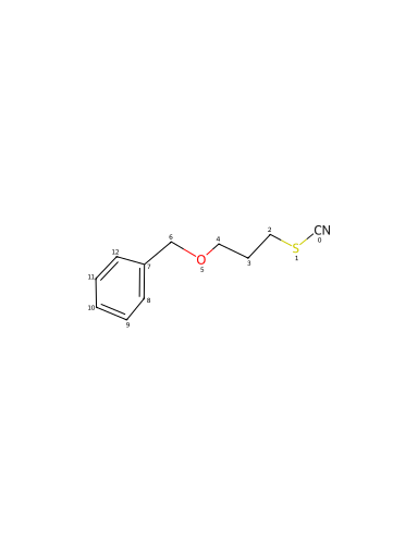 N#CSCCCOCc1ccccc1